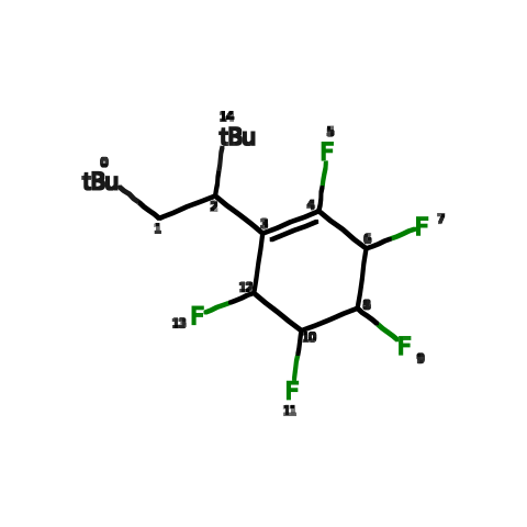 CC(C)(C)CC(C1=C(F)C(F)C(F)C(F)C1F)C(C)(C)C